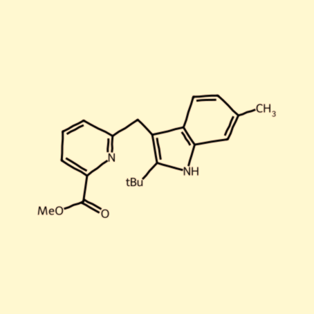 COC(=O)c1cccc(Cc2c(C(C)(C)C)[nH]c3cc(C)ccc23)n1